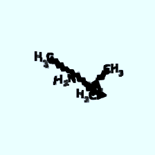 CCCCCCCCCC(N)CCCCCCC[C@H](C)C1(C[C@H]2C[C@H]2CCCCC)CC1